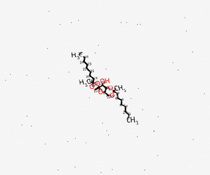 CCCCCCCCC1(C)OCC2OC3(COC(C)(CCCCCCCC)O3)C(O)C2O1